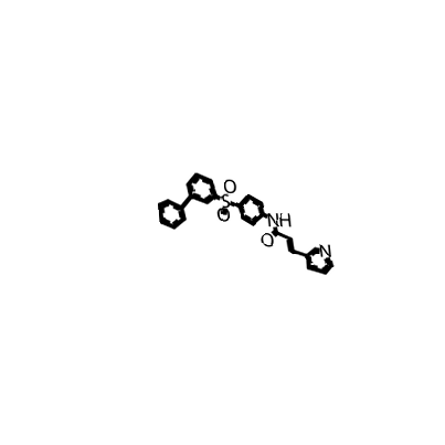 O=C(C=Cc1cccnc1)Nc1ccc(S(=O)(=O)c2cccc(-c3ccccc3)c2)cc1